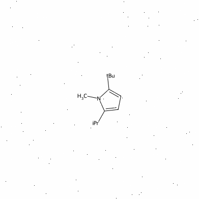 CC(C)c1ccc(C(C)(C)C)n1C